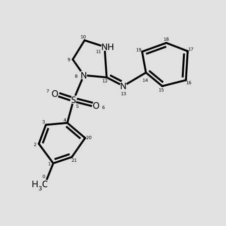 Cc1ccc(S(=O)(=O)N2CCNC2=Nc2ccccc2)cc1